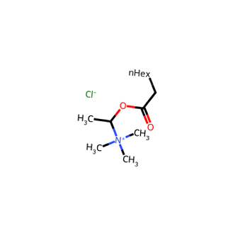 CCCCCCCC(=O)OC(C)[N+](C)(C)C.[Cl-]